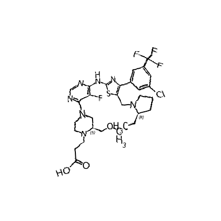 CC[C@@H]1CCCN1Cc1sc(Nc2ncnc(N3CCN(CCC(=O)O)[C@H](COC)C3)c2F)nc1-c1cc(Cl)cc(C(F)(F)F)c1